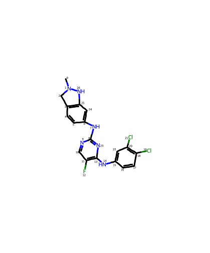 CN1Cc2ccc(Nc3ncc(F)c(Nc4ccc(Cl)c(Cl)c4)n3)cc2N1